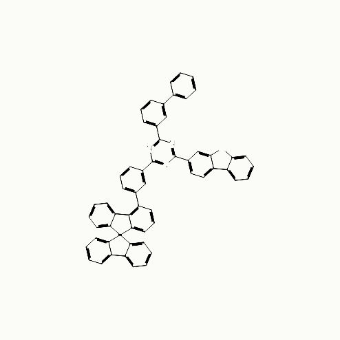 c1ccc(-c2cccc(-c3nc(-c4cccc(-c5cccc6c5-c5ccccc5C65c6ccccc6-c6ccccc65)c4)nc(-c4ccc5c(c4)sc4ccccc45)n3)c2)cc1